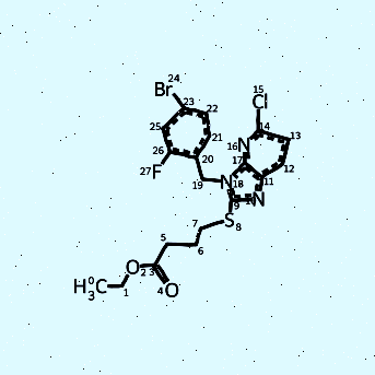 CCOC(=O)CCCSc1nc2ccc(Cl)nc2n1Cc1ccc(Br)cc1F